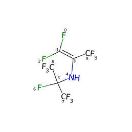 FC(F)=C(NC(F)(C(F)(F)F)C(F)(F)F)C(F)(F)F